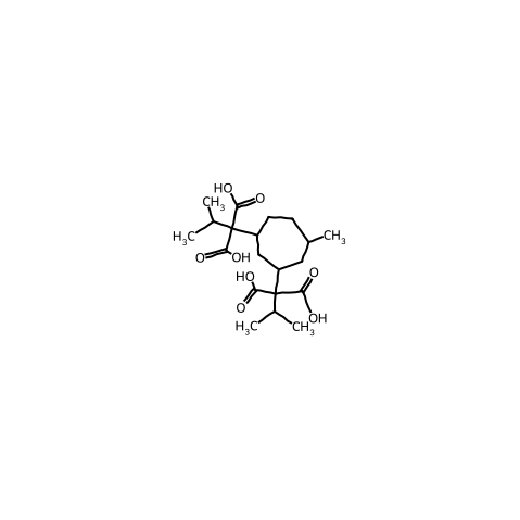 CC1CCC(C(C(=O)O)(C(=O)O)C(C)C)CC(C(C(=O)O)(C(=O)O)C(C)C)C1